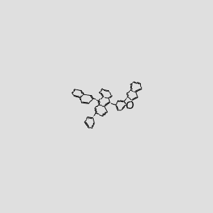 c1ccc(-c2ccc3c(-c4ccc5oc6cc7ccccc7cc6c5c4)c4ccccc4c(-c4ccc5ccccc5c4)c3c2)cc1